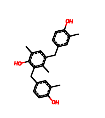 Cc1cc(Cc2cc(C)c(O)c(Cc3ccc(O)c(C)c3)c2C)ccc1O